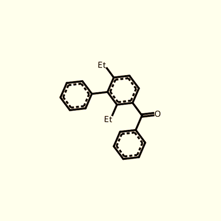 CCc1ccc(C(=O)c2ccccc2)c(CC)c1-c1ccccc1